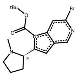 CN1CCC[C@H]1c1cc2cnc(Br)cc2n1C(=O)OC(C)(C)C